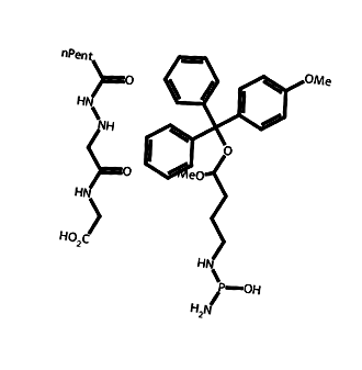 CCCCCC(=O)NNCC(=O)NCC(=O)O.COc1ccc(C(OC(CCCNP(N)O)OC)(c2ccccc2)c2ccccc2)cc1